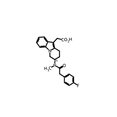 CN(C(=O)Cc1ccc(F)cc1)[C@@H]1CCc2c(CC(=O)O)c3ccccc3n2C1